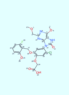 COCc1nc(OC)c2[nH]c(=O)n(-c3cc(OCc4c(F)cccc4OC)c(OCC(=O)O)cc3Cl)c2n1